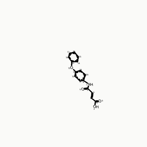 O=C(O)C=CC(=O)Nc1ccc(Oc2ccccc2)cc1